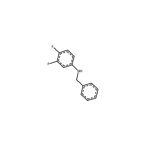 Fc1ccc(NCc2ccccc2)cc1F